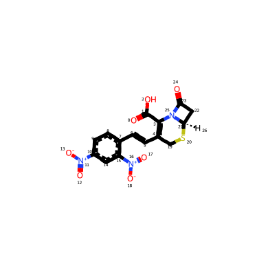 O=C(O)C1=C(C=Cc2ccc([N+](=O)[O-])cc2[N+](=O)[O-])CS[C@@H]2CC(=O)N12